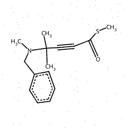 CSC(=O)C#CC(C)(C)N(C)Cc1ccccc1